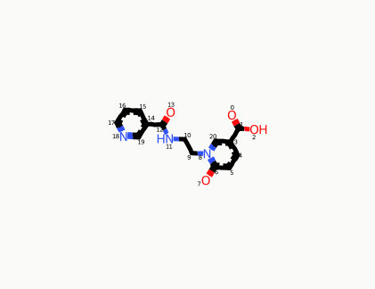 O=C(O)c1ccc(=O)n(CCNC(=O)c2cccnc2)c1